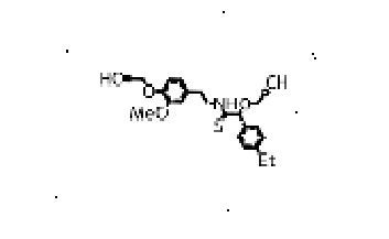 C#CCOc1ccc(CCNC(=S)C(OCC#C)c2ccc(CC)cc2)cc1OC